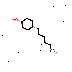 O=C(O)CCCCC[C@H]1CC[C@H](O)CC1